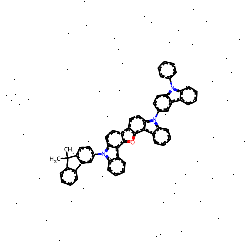 CC1(C)c2ccccc2-c2cc(-n3c4ccccc4c4c5oc6c(ccc7c6c6ccccc6n7-c6ccc7c(c6)c6ccccc6n7-c6ccccc6)c5ccc43)ccc21